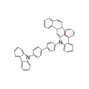 C1=CC2C=Cc3ccccc3C2C=C1N(c1ccc(-c2ccc(-n3c4ccccc4c4ccccc43)cc2)cc1)c1ccccc1-c1ccccc1